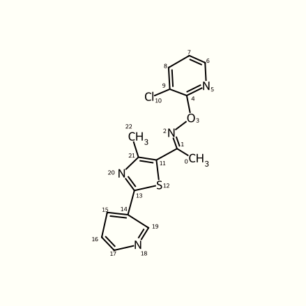 C/C(=N\Oc1ncccc1Cl)c1sc(-c2cccnc2)nc1C